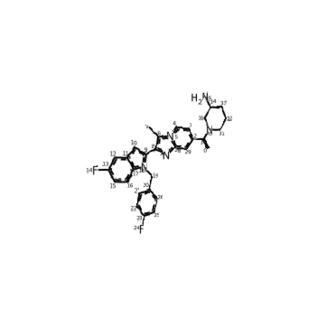 C=C(c1ccn2c(C)c(-c3cc4cc(F)ccc4n3Cc3ccc(F)cc3)nc2c1)N1CCCC(N)C1